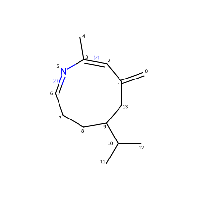 C=C1/C=C(C)\N=C/CCC(C(C)C)C1